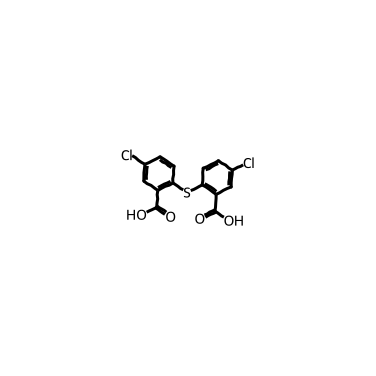 O=C(O)c1cc(Cl)ccc1Sc1ccc(Cl)cc1C(=O)O